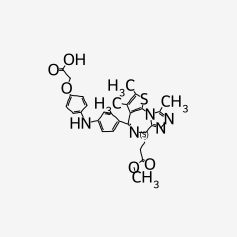 COC(=O)CC[C@@H]1N=C(c2ccc(Nc3ccc(OCC(=O)O)cc3)cc2)c2c(sc(C)c2C)-n2c(C)nnc21